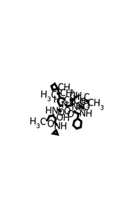 CCCC(NC(=O)[C@@H]1CC(C(C)(C)C2(C)CCC2)CN1C(=O)[C@@H](NC(=O)[C@@H](NC(=O)OC(C)(C)C)C1CCCCC1)C(C)(C)C)C(O)C(=O)NC1CC1